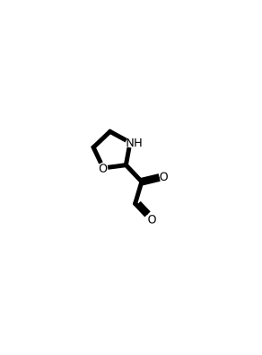 O=CC(=O)C1NCCO1